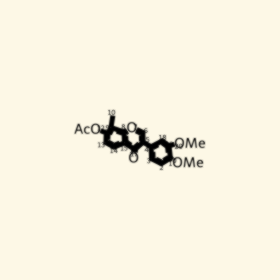 COc1ccc(-c2coc3c(C)c(OC(C)=O)ccc3c2=O)cc1OC